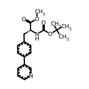 COC(=O)[C@H](Cc1ccc(-c2cccnc2)cc1)NC(=O)OC(C)(C)C